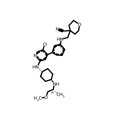 COC[C@@H](C)N[C@H]1CC[C@H](Nc2cc(-c3cccc(NCC4(C#N)CCOCC4)c3)c(Cl)cn2)CC1